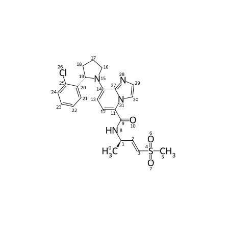 C[C@H](/C=C/S(C)(=O)=O)NC(=O)c1ccc(N2CCC[C@H]2c2ccccc2Cl)c2nccn12